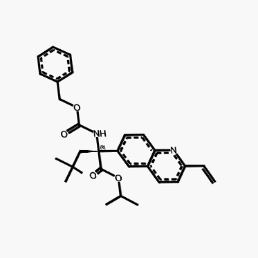 C=Cc1ccc2cc([C@@](CC(C)(C)C)(NC(=O)OCc3ccccc3)C(=O)OC(C)C)ccc2n1